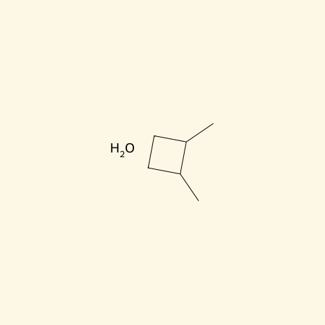 CC1CCC1C.O